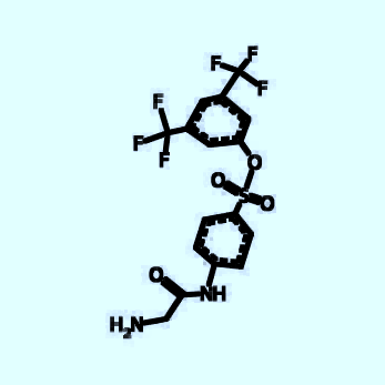 NCC(=O)Nc1ccc(S(=O)(=O)Oc2cc(C(F)(F)F)cc(C(F)(F)F)c2)cc1